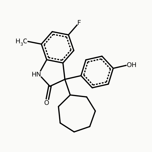 Cc1cc(F)cc2c1NC(=O)C2(c1ccc(O)cc1)C1CCCCCC1